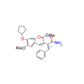 COC(=O)C(=C\c1ccc(OC2CCCC2)c(OC)c1)/C(=C\c1ccccc1)C(N)=O